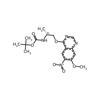 COc1cc2ncnc(OC[C@@H](C)NC(=O)OC(C)(C)C)c2cc1[N+](=O)[O-]